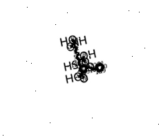 O=C(CCCCC(C(=O)O)C(S)c1cc(OCc2ccccc2)cc(C(=O)O)c1)NO